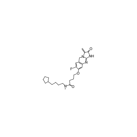 C=c1c(=O)[nH]c2n1Cc1cc(F)c(OCCCC(=O)N(C)CCCCC3CCCC3)cc1N=2